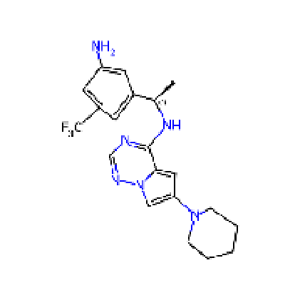 C[C@@H](Nc1ncnn2cc(N3CCCCC3)cc12)c1cc(N)cc(C(F)(F)F)c1